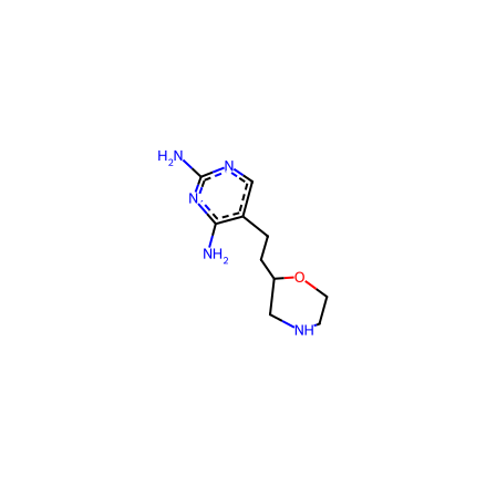 Nc1ncc(CCC2CNCCO2)c(N)n1